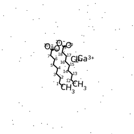 CCCCCCCCC(=O)[O-].CCCCCCCCC(=O)[O-].[Cl-].[Ga+3]